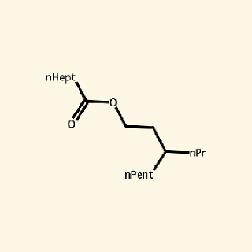 CCCCCCCC(=O)OCCC(CCC)CCCCC